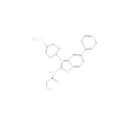 COc1ccc(-n2c(NC(=O)CN)nc3ccc(-c4ccncc4)cc32)cc1